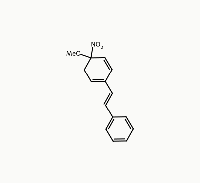 COC1([N+](=O)[O-])C=CC(C=Cc2ccccc2)=CC1